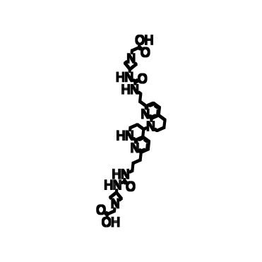 O=C(O)CN1CC(NC(=O)NCCCc2ccc3c(n2)NCCC3N2CCCc3ccc(CCNC(=O)NC4CN(CC(=O)O)C4)nc32)C1